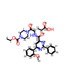 CCOC(=O)N1CCN(C(=O)[C@H](CCC(=O)O)NC(=O)c2cc(-c3ccccc3OC)nc(-c3ccccc3)n2)CC1